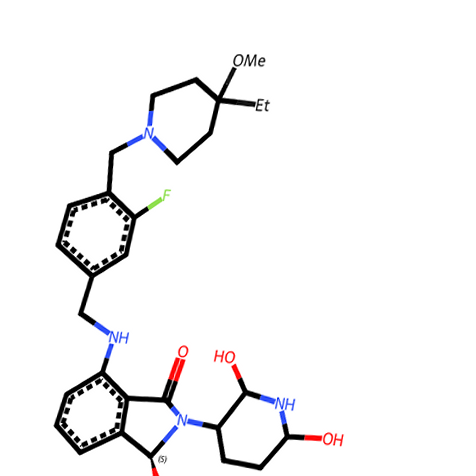 CCC1(OC)CCN(Cc2ccc(CNc3cccc4c3C(=O)N(C3CCC(O)NC3O)[C@H]4O)cc2F)CC1